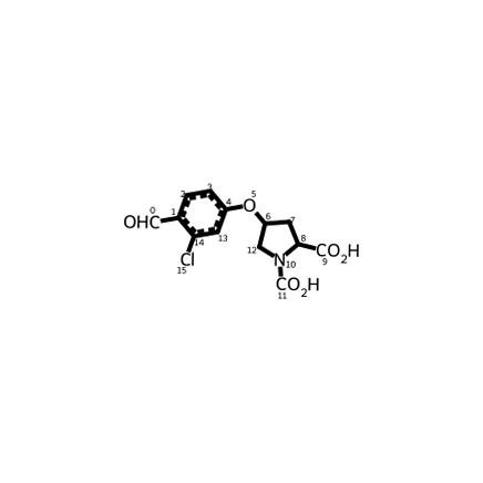 O=Cc1ccc(OC2CC(C(=O)O)N(C(=O)O)C2)cc1Cl